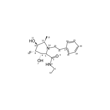 CCNC(=O)C1[C@H](O)[C@H](F)[C@@H](O)[C@@H](C)N1CCc1ccccc1